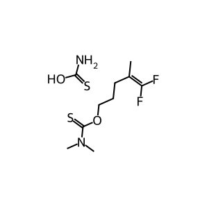 CC(CCCOC(=S)N(C)C)=C(F)F.NC(O)=S